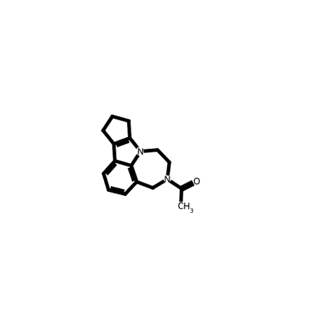 CC(=O)N1CCn2c3c(c4cccc(c42)C1)CCC3